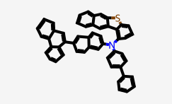 c1ccc(-c2ccc(N(c3ccc4cc(-c5cc6ccccc6c6ccccc56)ccc4c3)c3cccc4sc5cc6ccccc6cc5c34)cc2)cc1